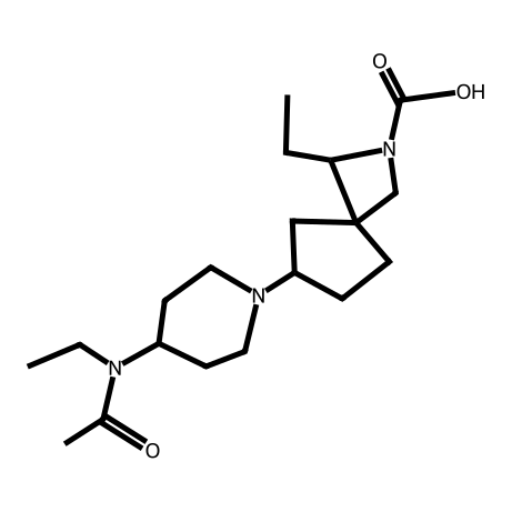 CCC1N(C(=O)O)CC12CCC(N1CCC(N(CC)C(C)=O)CC1)C2